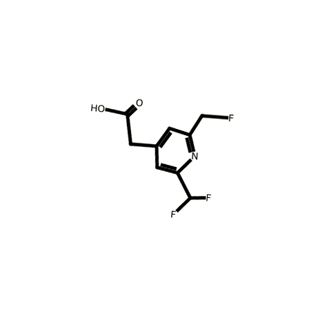 O=C(O)Cc1cc(CF)nc(C(F)F)c1